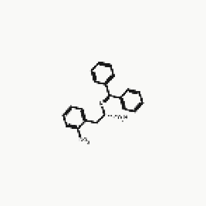 O=C(O)[C@H](Cc1ccccc1[N+](=O)[O-])N=C(c1ccccc1)c1ccccc1